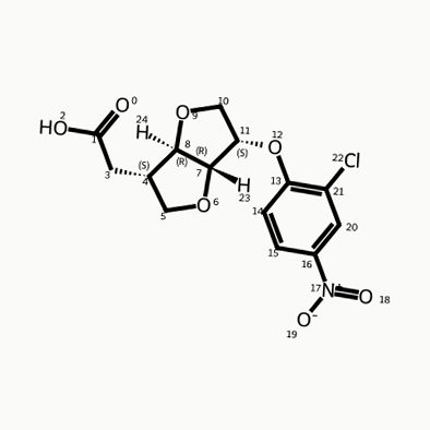 O=C(O)C[C@H]1CO[C@@H]2[C@@H]1OC[C@@H]2Oc1ccc([N+](=O)[O-])cc1Cl